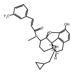 CN(C(=O)/C=C/c1cccc(C(F)(F)F)c1)C1CC[C@@]2(O)[C@H]3Cc4ccc(O)c5c4[C@@]2(CCN3CC2CC2)C1(C)O5